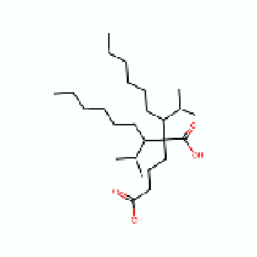 CCCCCCC(C(C)C)C(CCCC(=O)O)(C(=O)O)C(CCCCCC)C(C)C